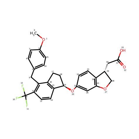 COc1ccc(Cc2c(C(F)(F)F)ccc3c2CC[C@H]3Oc2ccc3c(c2)OC[C@H]3CC(=O)O)cc1